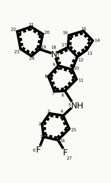 Fc1ccc(Nc2ccc3c(c2)c2ccccc2n3-c2ccccc2)cc1F